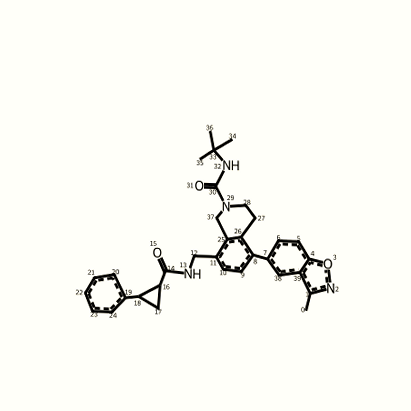 Cc1noc2ccc(-c3ccc(CNC(=O)C4CC4c4ccccc4)c4c3CCN(C(=O)NC(C)(C)C)C4)cc12